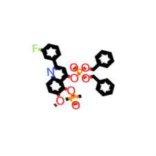 COc1ccc2nc(-c3cccc(F)c3)cc(OP(=O)(OCc3ccccc3)OCc3ccccc3)c2c1OP(C)(C)=O